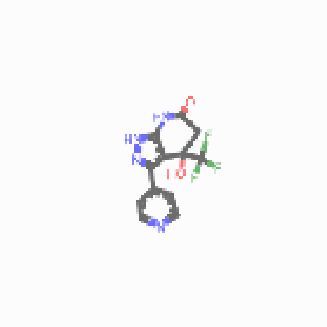 O=C1CC(O)(C(F)(F)F)c2c(-c3ccncc3)n[nH]c2N1